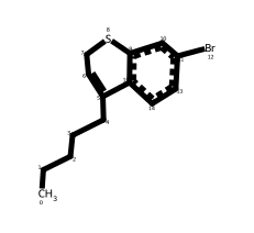 CCCCCC1=CCSc2cc(Br)ccc21